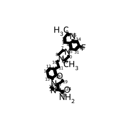 Cc1ccc2c(N3CCN(CCc4cccc5c4OCc4c(C(N)=O)ncn4-5)[C@H](C)C3)cc(F)cc2n1